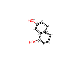 Oc1ccc2cc[c]c(O)c2c1